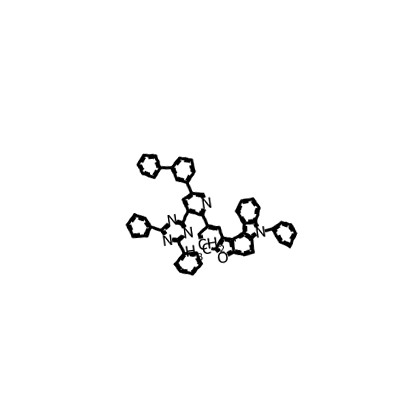 C=C/C(=C\c1c(C)oc2ccc3c(c4ccccc4n3-c3ccccc3)c12)c1ncc(-c2cccc(-c3ccccc3)c2)cc1-c1nc(-c2ccccc2)nc(-c2ccccc2)n1